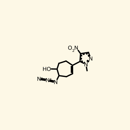 Cn1ncc([N+](=O)[O-])c1C1=CCC(N=[N+]=[N-])C(O)CC1